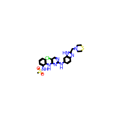 CS(=O)(=O)Nc1ccccc1Nc1nc(Nc2ccc3nc(CN4CCSCC4)[nH]c3c2)ncc1Cl